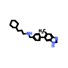 Cc1cc2nc[nH]c2cc1-c1ccc(CNCCCC2CCCCC2)cc1